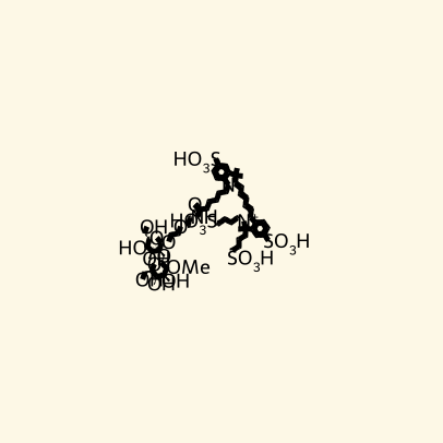 CO[C@@H]1[C@@H](O[C@@H]2C(OCCOCCNC(=O)CCCCCN3\C(=C/C=C/C=C/C4=[N+](CCCCS(=O)(=O)O)C(C)(CCCCS(=O)(=O)O)c5cc(S(=O)(=O)O)ccc54)C(C)(C)c4cc(S(=O)(=O)O)ccc43)O[C@@H](CO)[C@@H](O)[C@@H]2O)O[C@H](CO)[C@@H](O)[C@@H]1O